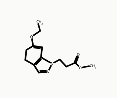 CCOC1=Cc2c(cnn2CCC(=O)OC)CC1